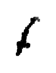 C=CC(=O)OCCCCCCOc1ccc(OC(=O)C2CCC(C(=O)Oc3c4ccccc4c(OC(=O)C4CCC(C=O)CC4)c4oc(-c5cccs5)nc34)CC2)cc1